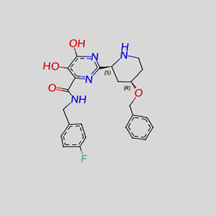 O=C(NCc1ccc(F)cc1)c1nc([C@@H]2C[C@H](OCc3ccccc3)CCN2)nc(O)c1O